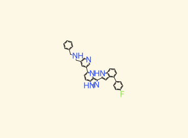 Fc1ccc(-c2cccc3[nH]c(-c4n[nH]c5ccc(-c6cncc(CNCc7ccccc7)c6)nc45)cc23)cc1